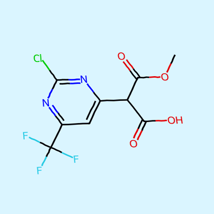 COC(=O)C(C(=O)O)c1cc(C(F)(F)F)nc(Cl)n1